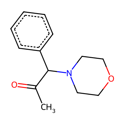 CC(=O)C(c1ccccc1)N1CCOCC1